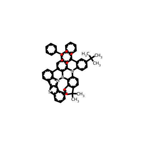 CC(C)(C)c1ccc(N2c3cc(N(c4ccccc4)c4ccccc4)cc4c3B(c3c2ccc2c3-c3ccccc3C2(C)C)n2c3c-4cccc3c3sc4ccccc4c32)c(-c2ccccc2)c1